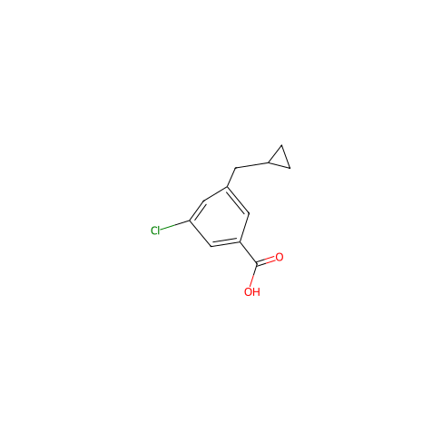 O=C(O)c1cc(Cl)cc(CC2CC2)c1